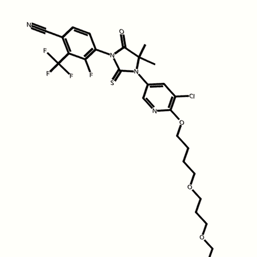 CCOCCCOCCCCOc1ncc(N2C(=S)N(c3ccc(C#N)c(C(F)(F)F)c3F)C(=O)C2(C)C)cc1Cl